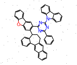 c1ccc(-c2nc(-c3cc4c(cc3C3CCc5cc6ccccc6cc5-c5ccccc53)oc3ccccc34)nc(-n3c4ccccc4c4ccccc43)n2)cc1